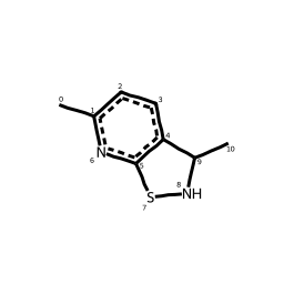 Cc1ccc2c(n1)SNC2C